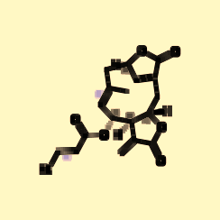 C=C1C(=O)O[C@H]2CC3=C[C@@H](C/C(C)=C/[C@@H](OC(=O)/C=C/CC)[C@H]12)OC3=O